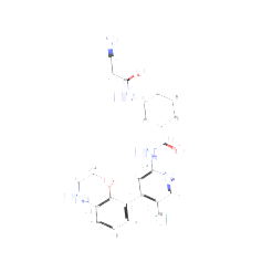 N#CCC(=O)N[C@@H]1CCC[C@H](C(=O)Nc2cc(-c3cccc4c3OCCN4)c(Cl)cn2)C1